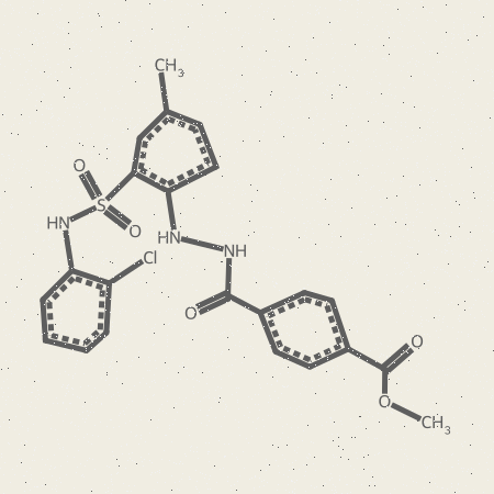 COC(=O)c1ccc(C(=O)NNc2ccc(C)cc2S(=O)(=O)Nc2ccccc2Cl)cc1